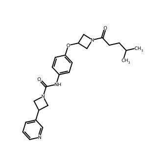 CC(C)CCC(=O)N1CC(Oc2ccc(NC(=O)N3CC(c4cccnc4)C3)cc2)C1